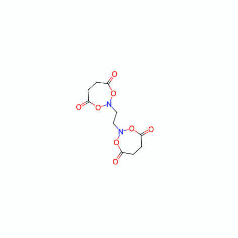 O=C1CCC(=O)ON(CCN2OC(=O)CCC(=O)O2)O1